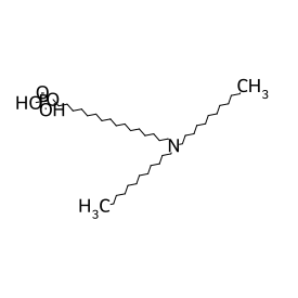 CCCCCCCCCCCCN(CCCCCCCCCCCC)CCCCCCCCCCCCCCCCOP(=O)(O)O